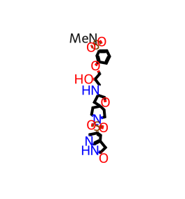 CNS(=O)(=O)c1cccc(OCC(O)CNC2COC3(CCN(S(=O)(=O)c4cnc5c(c4)CC(=O)N5)CC3)C2)c1